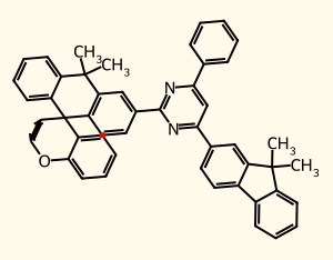 CC1(C)c2ccccc2-c2ccc(-c3cc(-c4ccccc4)nc(-c4ccc5c(c4)C(C)(C)c4ccccc4C54c5ccccc5Oc5ccccc54)n3)cc21